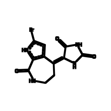 O=C1NC(=O)/C(=C2/CCNC(=O)c3[nH]c(Br)cc32)N1